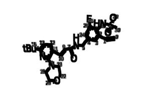 C#Cc1cc(CNC(=O)C=Cc2ccc(C(C)(C)C)nc2N2CCOCC2)cc(F)c1NS(C)(=O)=O